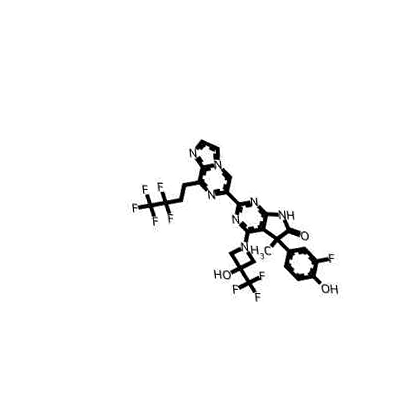 CC1(c2ccc(O)c(F)c2)C(=O)Nc2nc(-c3cn4ccnc4c(CCC(F)(F)C(F)(F)F)n3)nc(N3CC(O)(C(F)(F)F)C3)c21